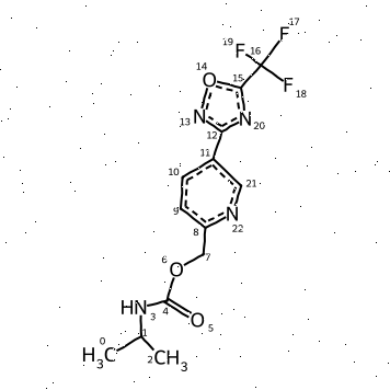 CC(C)NC(=O)OCc1ccc(-c2noc(C(F)(F)F)n2)cn1